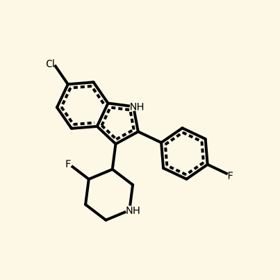 Fc1ccc(-c2[nH]c3cc(Cl)ccc3c2C2CNCCC2F)cc1